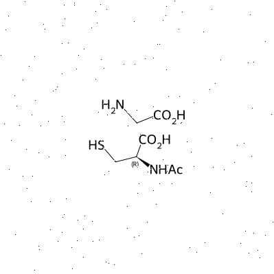 CC(=O)N[C@@H](CS)C(=O)O.NCC(=O)O